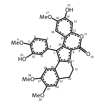 COc1ccc(-c2c3n(c4c(=O)oc5cc(O)c(OC)cc5c24)CCc2cc(OC)c(OC)cc2-3)cc1O